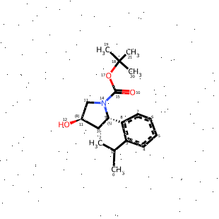 CC(C)c1ccccc1[C@@H]1C[C@@H](O)CN1C(=O)OC(C)(C)C